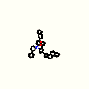 c1ccc(-c2cccc(N(c3ccc(-c4ccc5ccccc5c4)cc3)c3ccc(-c4ccc5ccc6c7ccccc7ccc6c5c4)cc3-c3ccccc3)c2)cc1